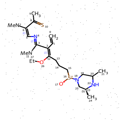 C=CC(/C(=N/C=C(/NC)C(C)=S)NC)=C(\CCC[S+]([O-])N1CC(C)N[C@@H](C)C1)OCC